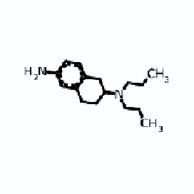 CCCN(CCC)C1CCc2cc(N)ccc2C1